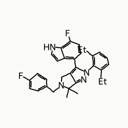 CCc1cccc(CC)c1-n1nc2c(c1-c1ccc(F)c3[nH]ccc13)CN(Cc1ccc(F)cc1)C2(C)C